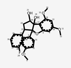 COc1ccc(C23Oc4cc(OC)cc(OC)c4C2(O)C(O)CC3c2cccc(F)c2)cc1